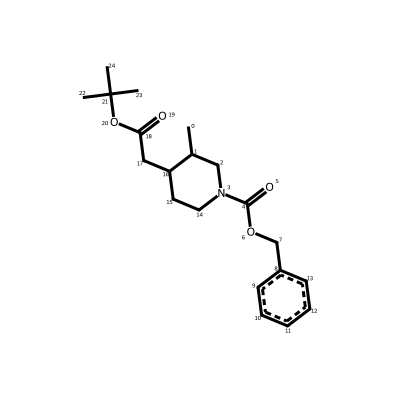 CC1CN(C(=O)OCc2ccccc2)CCC1CC(=O)OC(C)(C)C